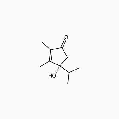 CC1=C(C)[C@](O)(C(C)C)CC1=O